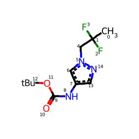 CC(F)(F)Cn1cc(NC(=O)OC(C)(C)C)cn1